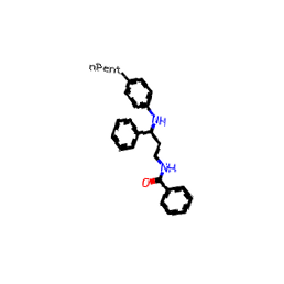 CCCCCc1ccc(NC(CCNC(=O)c2ccccc2)c2ccccc2)cc1